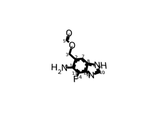 Nc1c(COC=O)cc2[nH]cnc2c1F